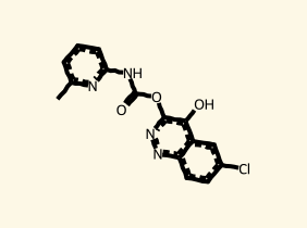 Cc1cccc(NC(=O)Oc2nnc3ccc(Cl)cc3c2O)n1